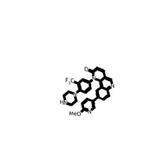 COc1ccc(-c2ccc3ncc4ccc(=O)n(-c5ccc(N6CCNCC6)c(C(F)(F)F)c5)c4c3c2)cn1